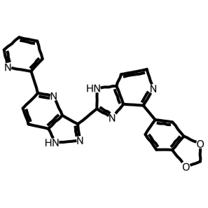 c1ccc(-c2ccc3[nH]nc(-c4nc5c(-c6ccc7c(c6)OCO7)nccc5[nH]4)c3n2)nc1